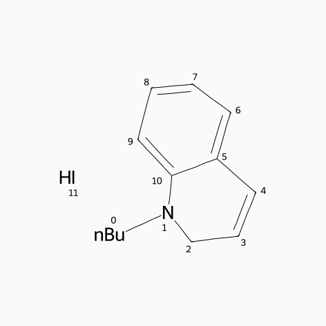 CCCCN1CC=Cc2ccccc21.I